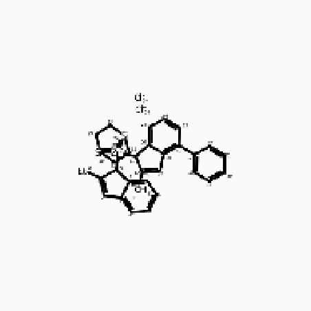 CCC1=Cc2ccccc2[CH]1[Zr+2]1([CH]2C(C)=Cc3c(-c4ccccc4)cccc32)=[Si]2CC[Si]=1CC2.[Cl-].[Cl-]